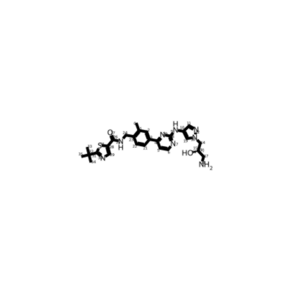 Cc1cc(-c2ccnc(Nc3cnn(C[C@H](O)CN)c3)n2)ccc1CNC(=O)c1cnc(C(C)(C)C)s1